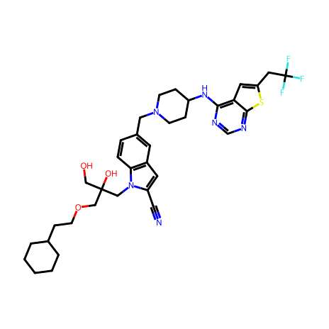 N#Cc1cc2cc(CN3CCC(Nc4ncnc5sc(CC(F)(F)F)cc45)CC3)ccc2n1CC(O)(CO)COCCC1CCCCC1